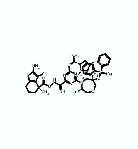 CC(Oc1nc(C(=N)NOC(=O)[C@@]2(C)CCCc3sc(N)c(C#N)c32)nc(N2C[C@](C)(O[Si](c3ccccc3)(c3ccccc3)C(C)(C)C)COC[C@H]2C)n1)[C@H]1C[C@@H](F)CN1C